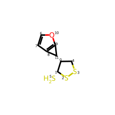 C1CSSC1.S.c1cc2c(o1)C2